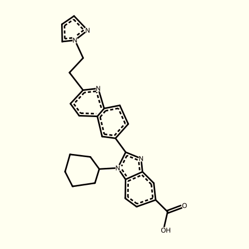 O=C(O)c1ccc2c(c1)nc(-c1ccc3nc(CCn4cccn4)ccc3c1)n2C1CCCCC1